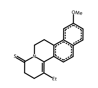 CCC1=C2c3ccc4ccc(OC)cc4c3CCN2C(=S)CC1